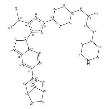 CN(CCC1CCNCC1)CC1CCC(n2cc(N3CC=C4N=C(N5CC6CCC(C5)C6=O)C=CN43)c(C(F)F)n2)CC1